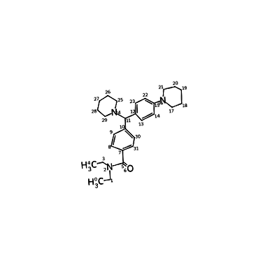 CCN(CC)C(=O)c1ccc(C(c2ccc(N3CCCCC3)cc2)N2CCCCC2)cc1